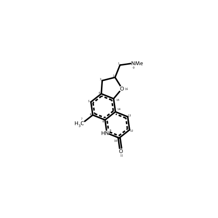 CNCC1Cc2cc(C)c3[nH]c(=O)ccc3c2O1